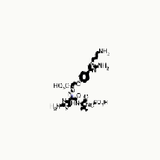 CC1(C)[C@H](NC(=O)/C(=N\O[C@@H](COc2ccc(-c3cn(CCCN)c(N)n3)cc2)C(=O)O)c2csc(N)n2)C(=O)N1OS(=O)(=O)O